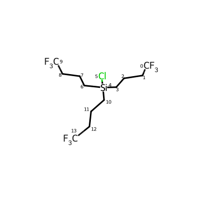 FC(F)(F)CCC[Si](Cl)(CCCC(F)(F)F)CCCC(F)(F)F